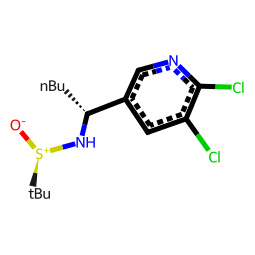 CCCC[C@@H](N[S@+]([O-])C(C)(C)C)c1cnc(Cl)c(Cl)c1